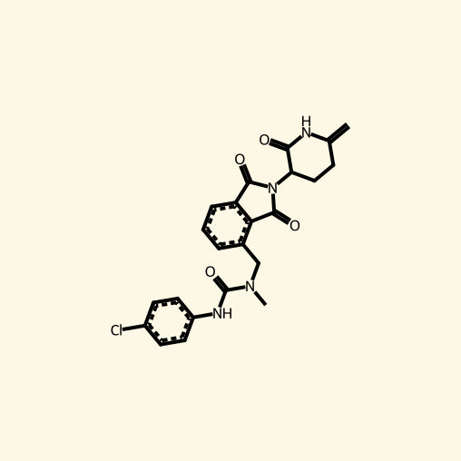 C=C1CCC(N2C(=O)c3cccc(CN(C)C(=O)Nc4ccc(Cl)cc4)c3C2=O)C(=O)N1